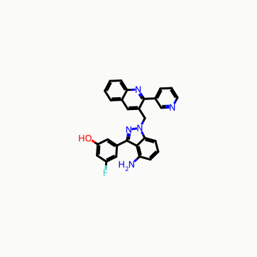 Nc1cccc2c1c(-c1cc(O)cc(F)c1)nn2Cc1cc2ccccc2nc1-c1cccnc1